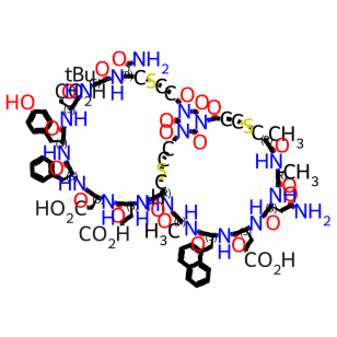 C[C@H]1CSCCC(=O)n2c(=O)n3c(=O)n(c2=O)C(=O)CCSC[C@H](NC(=O)[C@@H](C)NC(=O)[C@H](Cc2cccc4ccccc24)NC(=O)[C@H](CCC(=O)O)NC(=O)[C@H](CC(N)=O)NC(=O)[C@@H](C)NC1=O)C(=O)N[C@@H](CCC(=O)O)C(=O)N[C@@H](CC(=O)O)C(=O)N[C@@H](Cc1ccccc1)C(=O)N[C@@H](Cc1ccc(O)cc1)C(=O)N[C@@H](CC(=O)O)C(=O)N[C@@H](C(C)(C)C)C(=O)N[C@H](C(N)=O)CSCCC3=O